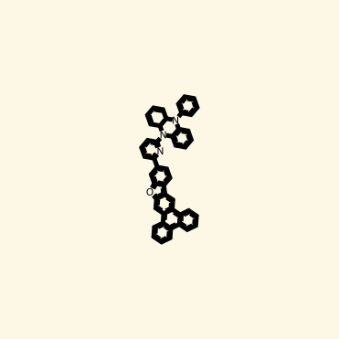 C1=CC2C(C=C1)N(c1cccc(-c3ccc4c(c3)oc3cc5c6ccccc6c6ccccc6c5cc34)n1)c1ccccc1N2c1ccccc1